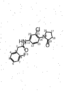 O=C(Cc1ccccc1F)Nc1ccc(N2CCCC2=O)c(Cl)c1